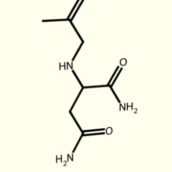 C=C(C)CNC(CC(N)=O)C(N)=O